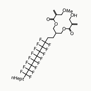 C=C(CO)C(=O)OCC(CCC(F)(F)C(F)(F)C(F)(F)C(F)(F)C(F)(F)C(F)(F)C(F)(F)C(F)(F)CCCCCCC)COC(=O)C(=C)COC